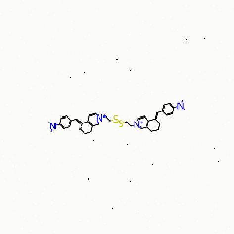 CN(C)c1ccc(/C=C2\CCCc3c[n+](CCSSCC[n+]4ccc5c(c4)CCC/C5=C\c4ccc(N(C)C)cc4)ccc32)cc1